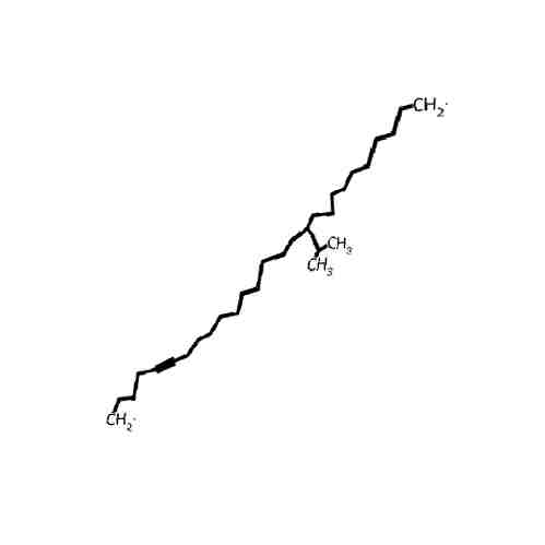 [CH2]CCCC#CCCCCCCCCCCC(CCCCCCCCC[CH2])C(C)C